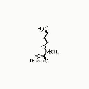 C=CCCON(C)C(=O)OC(C)(C)C